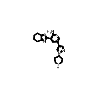 Nc1ncc(-c2cnn(C3CCNCC3)c2)cc1-c1nc2c(s1)CCCC2